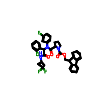 O=C(NC1CC(F)(F)C1)C(c1ccccc1Cl)N(C(=O)C1CCCN1C(=O)OCC1c2ccccc2-c2ccccc21)c1cccc(F)c1